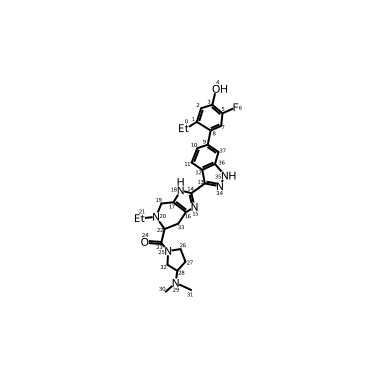 CCc1cc(O)c(F)cc1-c1ccc2c(-c3nc4c([nH]3)CN(CC)C(C(=O)N3CCC(N(C)C)C3)C4)n[nH]c2c1